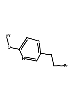 CC(C)Oc1cnc(CCBr)cn1